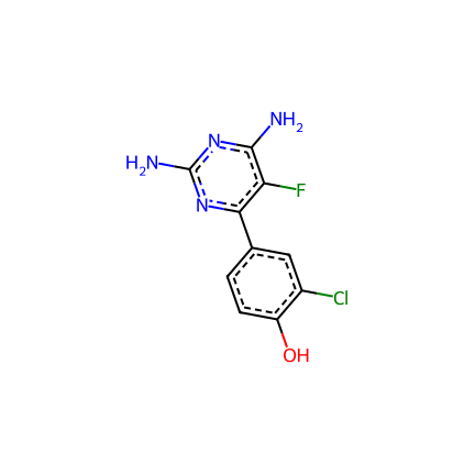 Nc1nc(N)c(F)c(-c2ccc(O)c(Cl)c2)n1